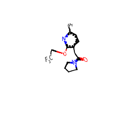 CC(C)c1ccc(C(=O)N2CCCC2)c(OCC(F)(F)F)n1